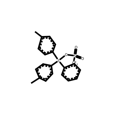 Cc1ccc(S(OS(=O)(=O)C(F)(F)F)(c2ccccc2)c2ccc(C)cc2)cc1